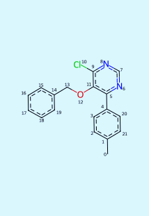 Cc1ccc(-c2ncnc(Cl)c2OCc2ccccc2)cc1